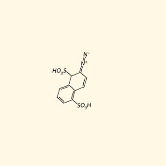 [N-]=[N+]=C1C=Cc2c(cccc2S(=O)(=O)O)C1S(=O)(=O)O